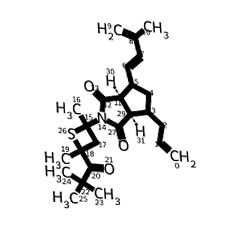 C=CCC1CC(/C=C/C(=C)C)[C@@H]2C(=O)N(C3(C)CC(C)(C(=O)C(C)(C)C)S3)C(=O)[C@H]12